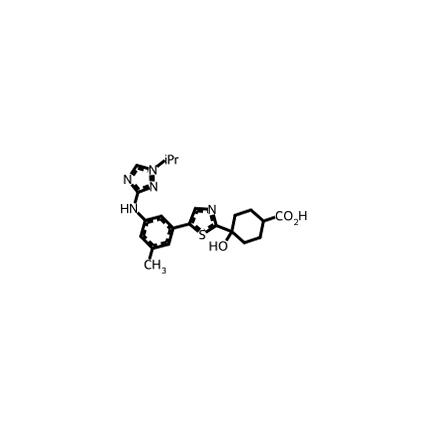 Cc1cc(Nc2ncn(C(C)C)n2)cc(-c2cnc(C3(O)CCC(C(=O)O)CC3)s2)c1